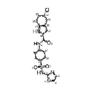 O=C(Nc1ccc(S(=O)(=O)Nc2nccs2)cc1)c1cc2cc(Cl)ccc2[nH]1